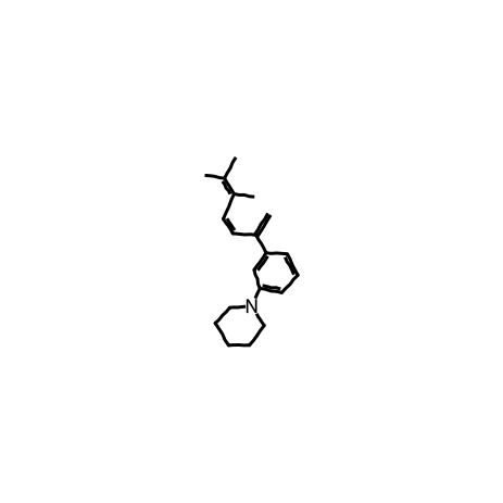 C=C(/C=C\C(C)=C(C)C)c1cccc(N2CCCCC2)c1